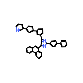 c1ccc(-c2ccc(C3N=C(c4cc5ccccc5c5ccccc45)C4C(c5cccc(-c6ccc(-c7cccnc7)cc6)c5)N34)cc2)cc1